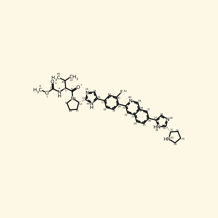 COC(=O)N[C@H](C(=O)N1CCC[C@H]1c1ncc(-c2ccc(-c3cc4ccc(-c5cnc([C@@H]6CCCN6)[nH]5)cc4cn3)c(F)c2)[nH]1)C(C)C